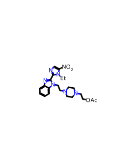 CCn1c([N+](=O)[O-])cnc1-c1nc2ccccc2n1CCN1CCN(CCOC(C)=O)CC1